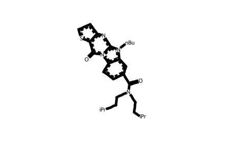 CCCCn1c2cc(C(=O)N(CCC(C)C)CCC(C)C)ccc2n2c(=O)c3sccc3nc12